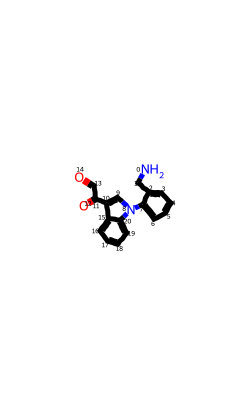 NCc1ccccc1-n1cc(C(=O)C=O)c2ccccc21